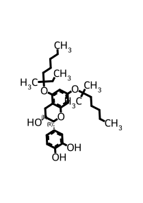 CCCCCC(C)(C)Oc1cc2c(c(OC(C)(CC)CCCCC)c1)C[C@@H](O)[C@@H](c1ccc(O)c(O)c1)O2